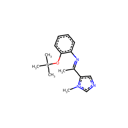 CC(=Nc1ccccc1O[Si](C)(C)C)c1cncn1C